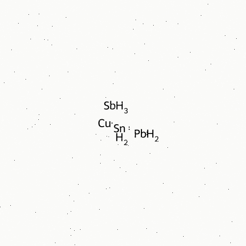 [Cu].[PbH2].[SbH3].[SnH2]